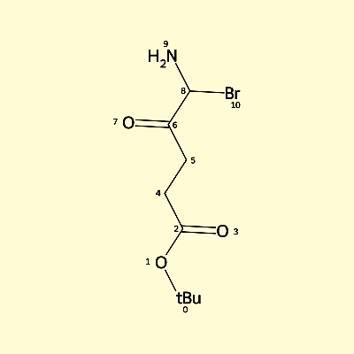 CC(C)(C)OC(=O)CCC(=O)C(N)Br